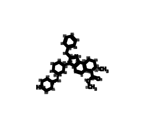 COC(=O)N1c2ccc3c(nc(Cc4ccccc4)n3[C@@H]3CCC[C@@H](CN4CCNCC4)C3)c2CC[C@@H]1C